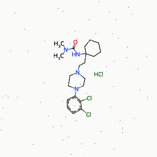 CN(C)C(=O)NC1(CCN2CCN(c3cccc(Cl)c3Cl)CC2)CCCCC1.Cl